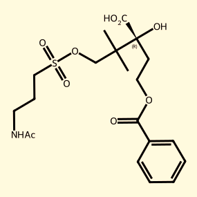 CC(=O)NCCCS(=O)(=O)OCC(C)(C)[C@](O)(CCOC(=O)c1ccccc1)C(=O)O